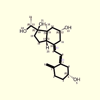 C=C1CC[C@@H](O)C/C1=C/C=C1\C[C@@H](O)C[C@@]2(C)[C@H]1CC[C@]2(O)[C@@H](C)O